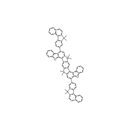 CC1(C)c2cc(-c3cc4c(c5c3oc3ccccc35)-c3cc5c(cc3[Si]4(C)C)-c3c(cc(-c4ccc6c(c4)C(C)(C)c4ccc7ccccc7c4-6)c4c3oc3ccccc34)[Si]5(C)C)ccc2-c2c1ccc1ccccc21